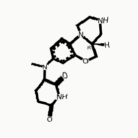 CN(c1ccc2c(c1)OC[C@H]1CNCCN21)C1CCC(=O)NC1=O